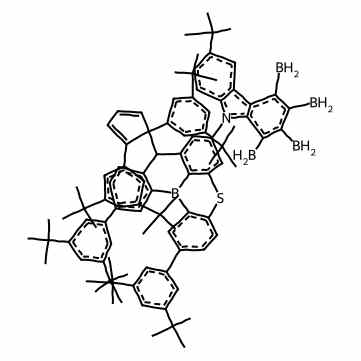 Bc1c(B)c(B)c2c(c1B)c1cc(C(C)(C)C)ccc1n2-c1cc2c3c(c1)C(C1(c4cc(C(C)(C)C)cc(C(C)(C)C)c4)C=CC=C1c1cc(C(C)(C)C)cc(C(C)(C)C)c1)c1ccc(-c4cc(C(C)(C)C)cc(C(C)(C)C)c4)cc1B3c1cc(-c3cc(C(C)(C)C)cc(C(C)(C)C)c3)ccc1S2